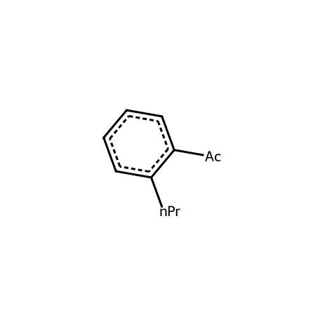 [CH2]CCc1ccccc1C(C)=O